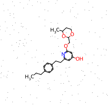 CCCc1ccc(CCc2cc(O)cc(OCC3OCCC(C)O3)n2)cc1